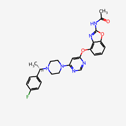 CC(=O)Nc1nc2c(Oc3cc(N4CCN([C@@H](C)c5ccc(F)cc5)CC4)ncn3)cccc2o1